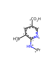 Bc1cc(C(=O)O)cnc1NC(C)C